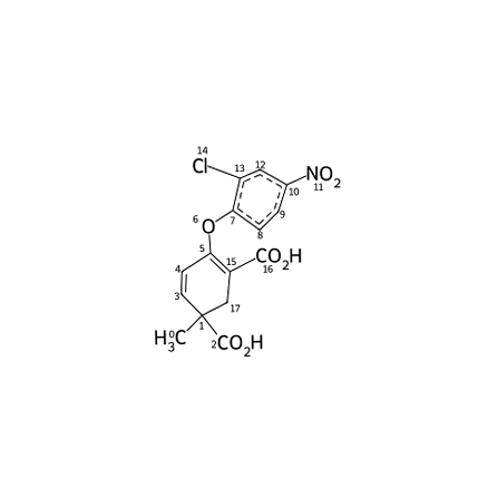 CC1(C(=O)O)C=CC(Oc2ccc([N+](=O)[O-])cc2Cl)=C(C(=O)O)C1